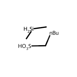 CCCCCS(=O)(=O)O.C[SiH2]C